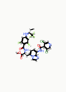 CC[C@@H](Nc1cc(F)c(C(=O)N[C@@H](Cc2ccc(NC(=O)c3c(Cl)cncc3Cl)c3nccn23)C(=O)OC)c(F)c1)C(F)(F)F